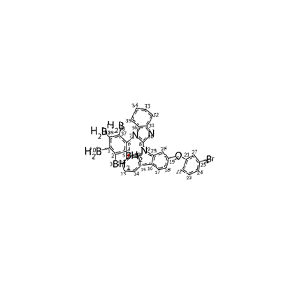 Bc1c(B)c(B)c(-n2c(-n3c4ccccc4c4ccc(Oc5cccc(Br)c5)cc43)nc3ccccc32)c(B)c1B